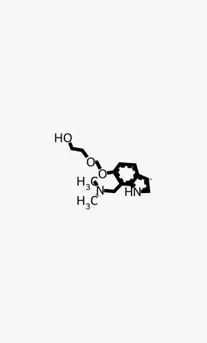 CN(C)Cc1c(OCOCCO)ccc2[c]c[nH]c12